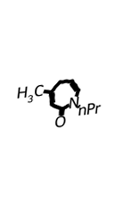 CCCN1C=CCC(C)=CC1=O